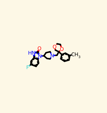 Cc1cccc(C2(CN3CCC(n4c(=O)[nH]c5cc(F)ccc54)CC3)COCCO2)c1